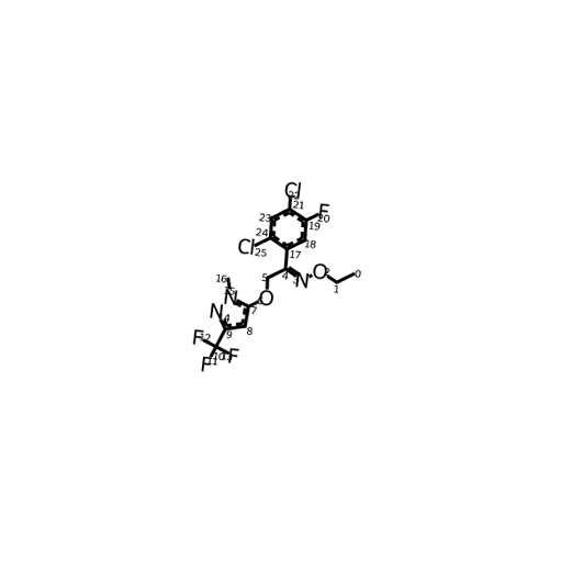 CCO/N=C(/COc1cc(C(F)(F)F)nn1C)c1cc(F)c(Cl)cc1Cl